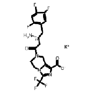 N[C@@H](CC(=O)N1CCn2c(C(F)(F)F)nc(C(=O)[O-])c2C1)Cc1cc(F)c(F)cc1F.[K+]